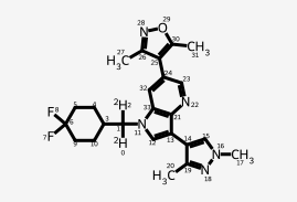 [2H]C([2H])(C1CCC(F)(F)CC1)n1cc(-c2cn(C)nc2C)c2ncc(-c3c(C)noc3C)cc21